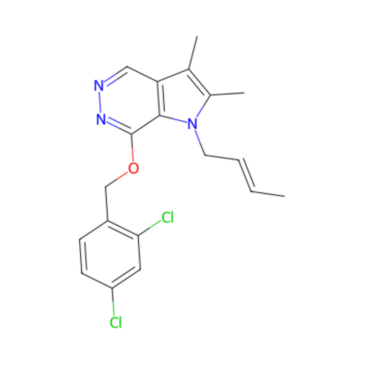 CC=CCn1c(C)c(C)c2cnnc(OCc3ccc(Cl)cc3Cl)c21